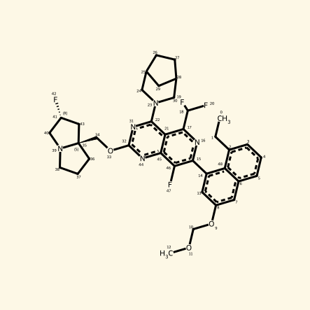 CCc1cccc2cc(OCOC)cc(-c3nc(C(F)F)c4c(N5CC6CCC(C6)C5)nc(OC[C@@]56CCCN5C[C@H](F)C6)nc4c3F)c12